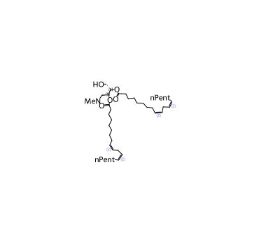 CCCCC/C=C\C/C=C\CCCCCCCC(=O)O[C@@H](CO)[C@H](CNC)OC(=O)CCCCCCC/C=C\C/C=C\CCCCC